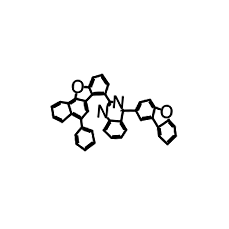 c1ccc(-c2cc3c(oc4cccc(-c5nc(-c6ccc7oc8ccccc8c7c6)c6ccccc6n5)c43)c3ccccc23)cc1